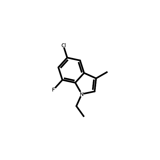 CCn1cc(C)c2cc(Cl)cc(F)c21